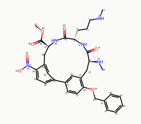 CNCCC[C@@H]1NC(=O)[C@@H](NC)Cc2cc(ccc2OCc2ccccc2)-c2ccc([N+](=O)[O-])c(c2)C[C@@H](C(=O)OC)NC1=O